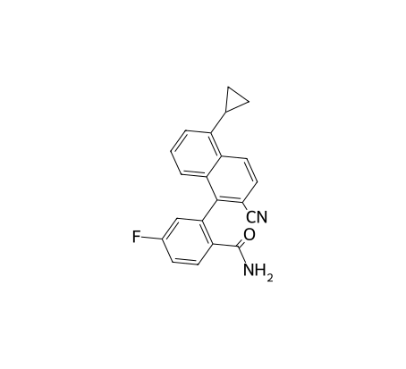 N#Cc1ccc2c(C3CC3)cccc2c1-c1cc(F)ccc1C(N)=O